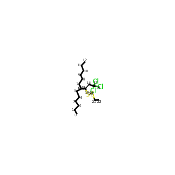 CCCCCCC(CCCCCC)[C@@H](CC(Cl)(Cl)Cl)SSCC